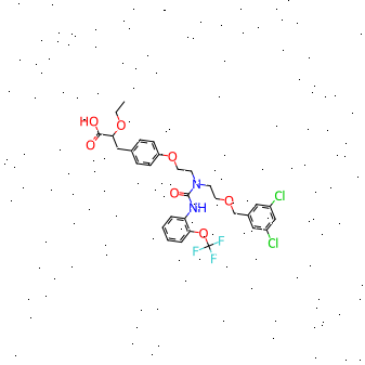 CCOC(Cc1ccc(OCCN(CCOCc2cc(Cl)cc(Cl)c2)C(=O)Nc2ccccc2OC(F)(F)F)cc1)C(=O)O